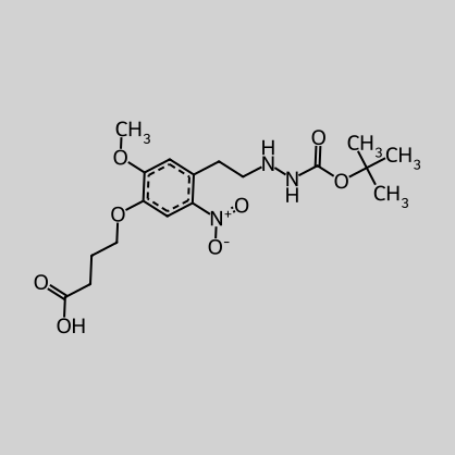 COc1cc(CCNNC(=O)OC(C)(C)C)c([N+](=O)[O-])cc1OCCCC(=O)O